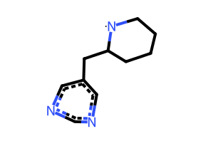 c1ncc(CC2CCCC[N]2)cn1